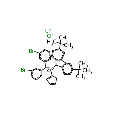 CC(C)(C)c1ccc2c(c1)-c1cc(C(C)(C)C)ccc1[CH]2[Zr+2]([C]1=CC=CC1)=[C](c1cccc(Br)c1)c1cccc(Br)c1.[Cl-].[Cl-]